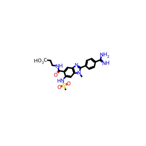 Cn1c(-c2ccc(C(=N)N)cc2)nc2cc(C(=O)NCCC(=O)O)c(NS(C)(=O)=O)cc21